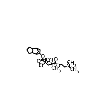 CCC(C)(CC(C)(C)C(=O)OCCN(C)C)C(=O)OC1CC2CC1C1CCCC21